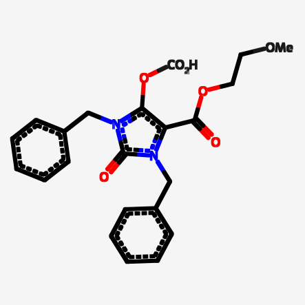 COCCOC(=O)c1c(OC(=O)O)n(Cc2ccccc2)c(=O)n1Cc1ccccc1